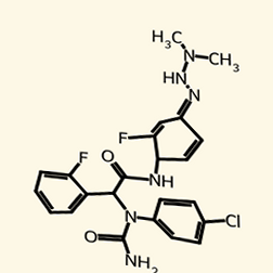 CN(C)N/N=C1/C=CC(NC(=O)C(c2ccccc2F)N(C(N)=O)c2ccc(Cl)cc2)C(F)=C1